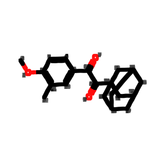 COc1ccc(C(=O)C(=O)C23CC4CC(CC(C4)C2)C3)cc1C